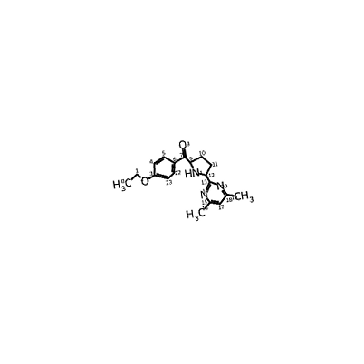 CCOc1ccc(C(=O)C2CCC(c3nc(C)cc(C)n3)N2)cc1